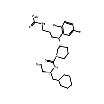 CNC[C@H](CC1CCCCC1)NC(=O)N1CCC[C@@H](C(OCCNC(=O)OC)c2cc(F)ccc2F)C1